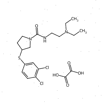 CCN(CC)CCNC(=O)N1CCC(Sc2ccc(Cl)c(Cl)c2)C1.O=C(O)C(=O)O